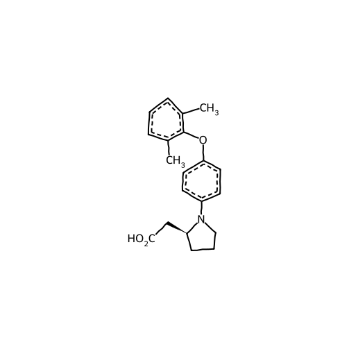 Cc1cccc(C)c1Oc1ccc(N2CCC[C@H]2CC(=O)O)cc1